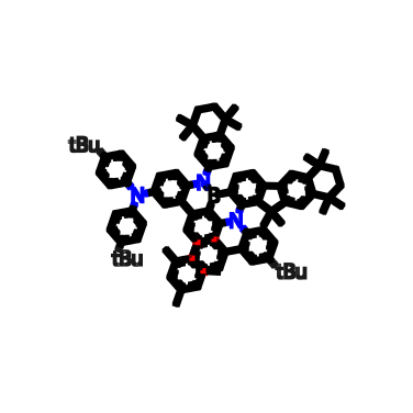 Cc1cc(C)c(-c2cc3c4c(c2)N(c2ccc(C(C)(C)C)cc2-c2ccccc2)c2c(ccc5c2C(C)(C)c2cc6c(cc2-5)C(C)(C)CCC6(C)C)B4N(c2ccc4c(c2)C(C)(C)CCC4(C)C)c2ccc(N(c4ccc(C(C)(C)C)cc4)c4ccc(C(C)(C)C)cc4)cc2-3)c(C)c1